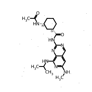 CNc1cc2cnc(NC(=O)[C@H]3CCC[C@@H](NC(C)=O)C3)nc2c(NC(C)C)n1